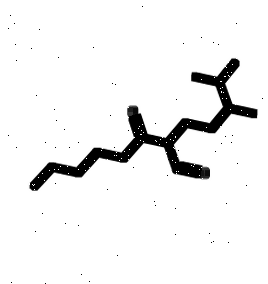 CCCCCC(=O)C([C]=O)CCC(C)C(C)C